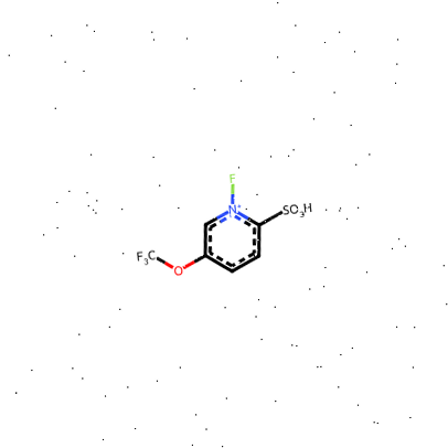 O=S(=O)(O)c1ccc(OC(F)(F)F)c[n+]1F